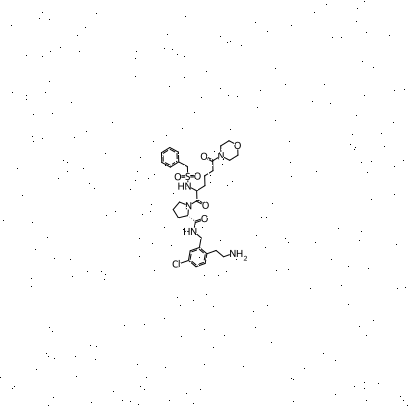 NCCc1ccc(Cl)cc1CNC(=O)[C@@H]1CCCN1C(=O)C(CCCC(=O)N1CCOCC1)NS(=O)(=O)Cc1ccccc1